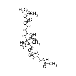 CC(=O)NCCCS(=O)(=O)OCC(C)(C)[C@](O)(CCCCOC(=O)OC(C)C)C(=O)O